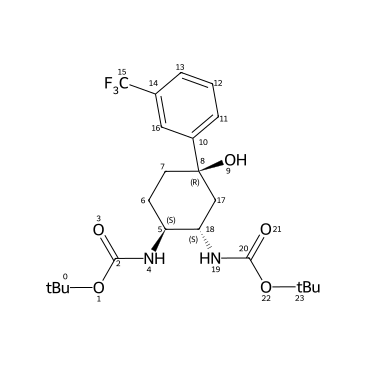 CC(C)(C)OC(=O)N[C@H]1CC[C@](O)(c2cccc(C(F)(F)F)c2)C[C@@H]1NC(=O)OC(C)(C)C